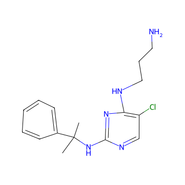 CC(C)(Nc1ncc(Cl)c(NCCCN)n1)c1ccccc1